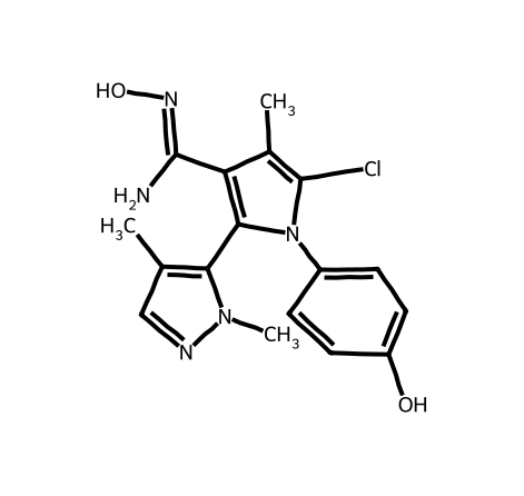 Cc1cnn(C)c1-c1c(/C(N)=N/O)c(C)c(Cl)n1-c1ccc(O)cc1